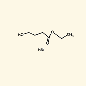 Br.CCOC(=O)CCCO